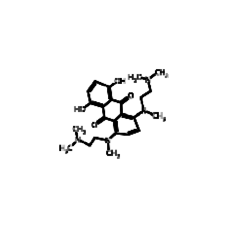 CN(C)CCN(C)c1ccc(N(C)CCN(C)C)c2c1C(=O)c1c(O)ccc(O)c1C2=O